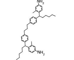 CCCCCC(c1ccc(CCCc2ccc(C(CCCCC)c3ccc(N)cc3C)cc2)cc1)c1ccc(N)cc1C